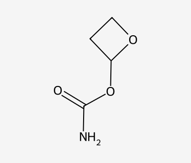 NC(=O)OC1CCO1